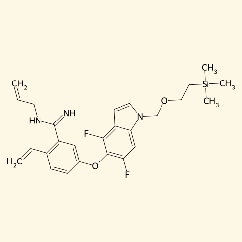 C=CCNC(=N)c1cc(Oc2c(F)cc3c(ccn3COCC[Si](C)(C)C)c2F)ccc1C=C